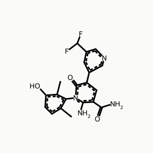 Cc1ccc(O)c(C)c1-n1c(N)c(C(N)=O)cc(-c2cncc(C(F)F)c2)c1=O